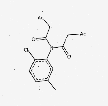 CC(=O)CC(=O)N(C(=O)CC(C)=O)c1cc(C)ccc1Cl